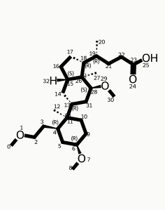 COCC[C@@H]1C[C@H](OC)CC[C@]1(C)[C@@H]1C[C@@H]2CC[C@H]([C@H](C)CCC(=O)O)[C@@]2(C)[C@@H](OC)C1